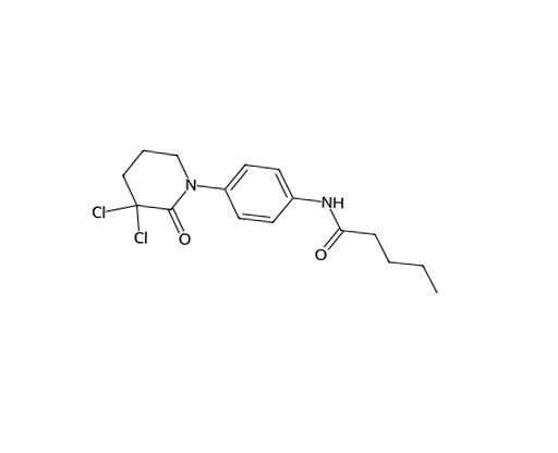 CCCCC(=O)Nc1ccc(N2CCCC(Cl)(Cl)C2=O)cc1